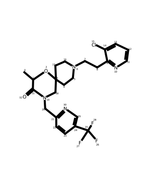 CC1OC2(CCN(CCc3ncccc3Cl)CC2)CN(Cc2ccc(C(F)(F)F)cn2)C1=O